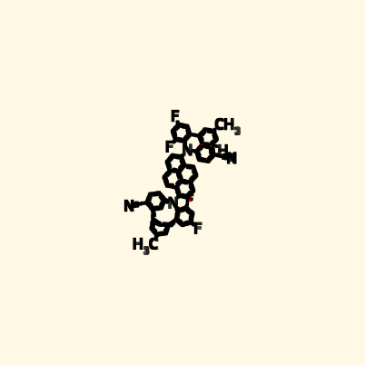 Cc1cc(C)cc(-c2cc(F)cc(F)c2N(c2ccc(C#N)cc2)c2ccc3ccc4c(-n5c6ccc(C#N)c(c6)c6cc(C)cc(c6)c6cc(F)cc(F)c65)ccc5ccc2c3c54)c1